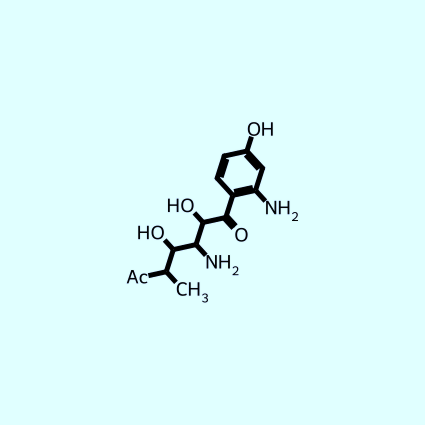 CC(=O)C(C)C(O)C(N)C(O)C(=O)c1ccc(O)cc1N